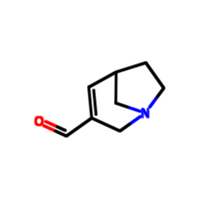 O=CC1=CC2CCN(C1)C2